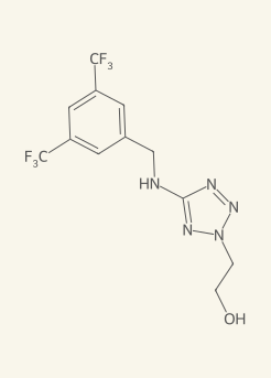 OCCn1nnc(NCc2cc(C(F)(F)F)cc(C(F)(F)F)c2)n1